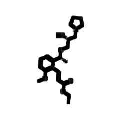 CCOC(=O)/C=C/c1c(OC)cccc1[C@@H](C)OC[C@H](O)CN1CCCC1